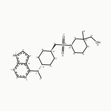 CN(c1ncnc2[nH]ccc12)[C@H]1CC[C@H](CS(=O)(=O)N2CCCC(C)(CO)C2)CC1